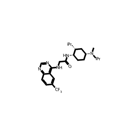 CC(C)[C@@H]1C[C@H](N(C)C(C)C)CC[C@@H]1NC(=O)CNc1ncnc2ccc(C(F)(F)F)cc12